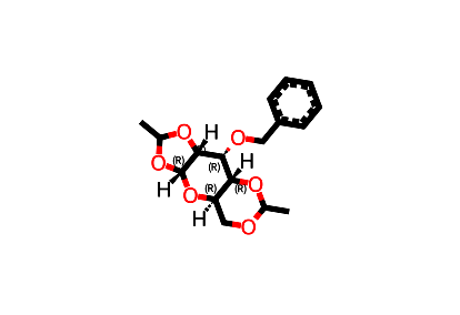 CC1O[C@H]2O[C@@H]3COC(C)O[C@H]3[C@@H](OCc3ccccc3)[C@H]2O1